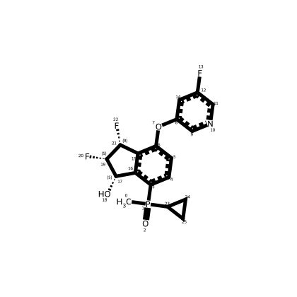 CP(=O)(c1ccc(Oc2cncc(F)c2)c2c1[C@H](O)[C@H](F)[C@@H]2F)C1CC1